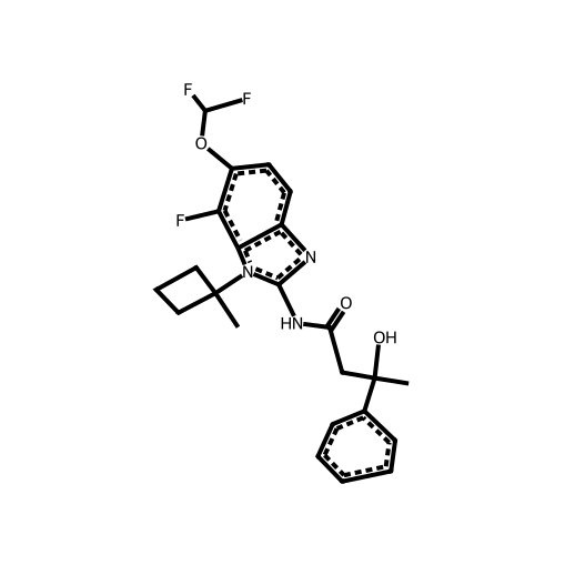 CC(O)(CC(=O)Nc1nc2ccc(OC(F)F)c(F)c2n1C1(C)CCC1)c1ccccc1